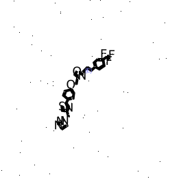 FC(F)(F)c1ccc(/C=C/c2nc(COc3ccc(-c4nc(Cn5ccnn5)cs4)cc3)co2)cc1